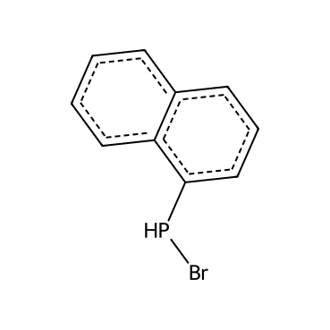 BrPc1cccc2ccccc12